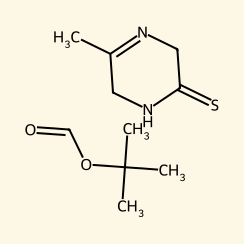 CC(C)(C)OC=O.CC1=NCC(=S)NC1